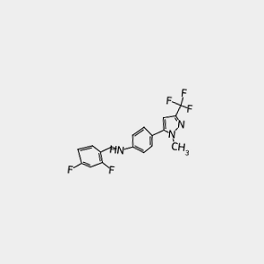 Cn1nc(C(F)(F)F)cc1-c1ccc(NCc2ccc(F)cc2F)cc1